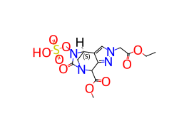 CCOC(=O)Cn1cc2c(n1)C(C(=O)OC)N1C[C@H]2N(OS(=O)(=O)O)C1=O